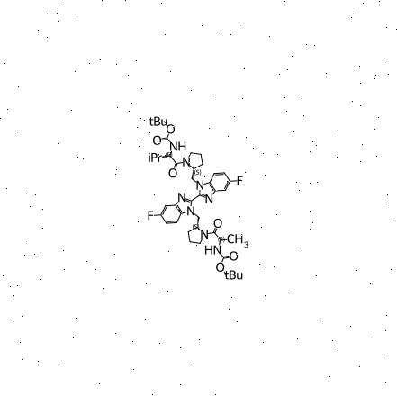 CC(C)[C@@H](NC(=O)OC(C)(C)C)C(=O)N1CCC[C@H]1Cn1c(-c2nc3cc(F)ccc3n2C[C@@H]2CCCN2C(=O)[C@@H](C)NC(=O)OC(C)(C)C)nc2cc(F)ccc21